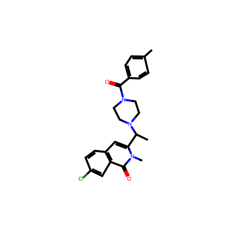 Cc1ccc(C(=O)N2CCN(C(C)c3cc4ccc(Cl)cc4c(=O)n3C)CC2)cc1